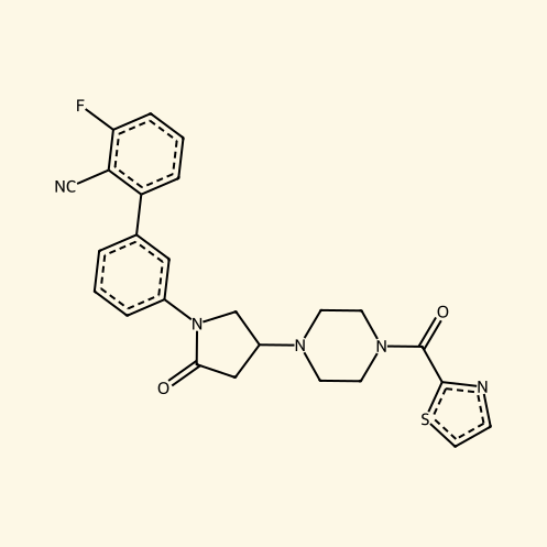 N#Cc1c(F)cccc1-c1cccc(N2CC(N3CCN(C(=O)c4nccs4)CC3)CC2=O)c1